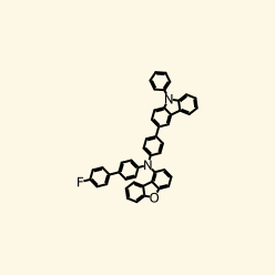 Fc1ccc(-c2ccc(N(c3ccc(-c4ccc5c(c4)c4ccccc4n5-c4ccccc4)cc3)c3cccc4oc5ccccc5c34)cc2)cc1